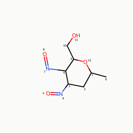 CC1CC(N=O)C(N=O)C(CO)O1